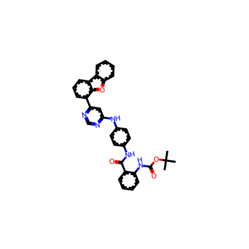 CC(C)(C)OC(=O)Nc1ccccc1C(=O)Nc1ccc(Nc2cc(-c3cccc4c3oc3ccccc34)ncn2)cc1